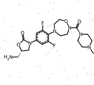 CN1CCN(C(=O)N2CCN(c3c(F)cc(N4C[C@H](CN)OC4=O)cc3F)CCO2)CC1